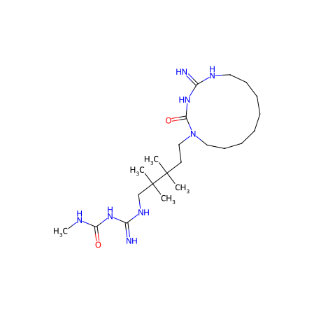 CNC(=O)NC(=N)NCC(C)(C)C(C)(C)CCN1CCCCCCCCNC(=N)NC1=O